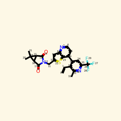 C=Cc1c(-c2ccnc3cc(CN4C(=O)C5C(C4=O)C5(C)C)sc23)cc(C(F)(F)F)nc1C